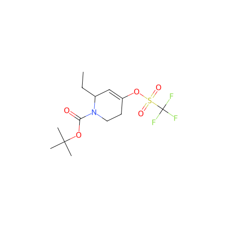 CCC1C=C(OS(=O)(=O)C(F)(F)F)CCN1C(=O)OC(C)(C)C